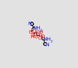 N[C@@H](CC(=O)OC(=O)C(O)C(O)C(=O)OC(=O)C[C@H](N)c1cccnc1)c1cccnc1